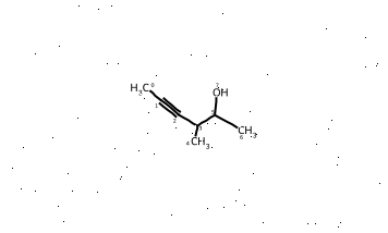 CC#CC(C)C(C)O